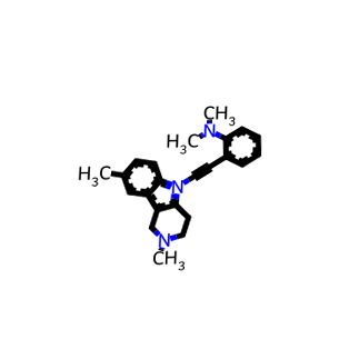 Cc1ccc2c(c1)c1c(n2C#Cc2ccccc2N(C)C)CCN(C)C1